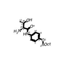 CCCCCCCCOc1ccc(NC(=O)[C@@H](N)[C@@H](C)O)cc1